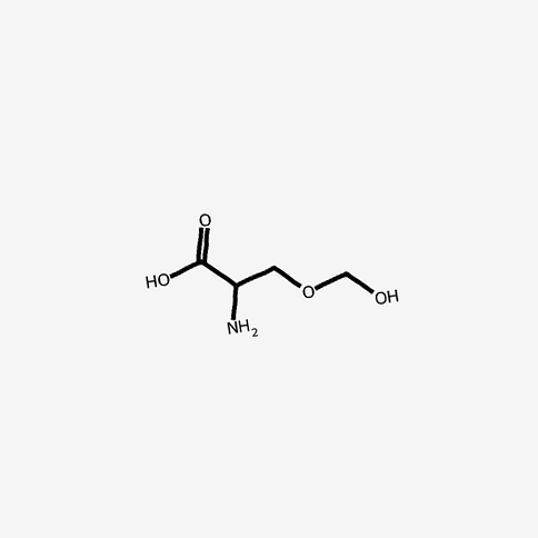 NC(COCO)C(=O)O